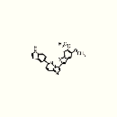 COc1cc2cc(-c3cnc4ccc(-c5ccc6[nH]ccc6c5)nn34)sc2cc1OC